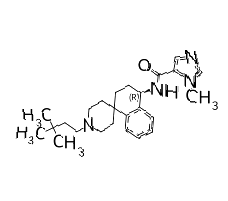 Cn1cncc1C(=O)N[C@@H]1CCC2(CCN(CCC(C)(C)C)CC2)c2ccccc21